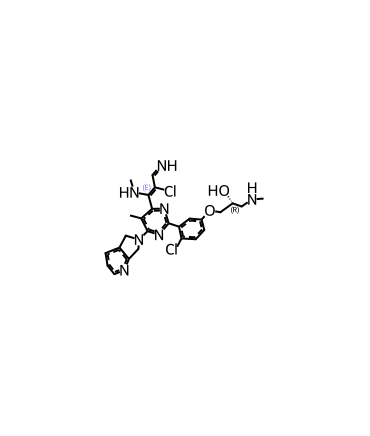 CNC[C@@H](O)COc1ccc(Cl)c(-c2nc(/C(NC)=C(\Cl)C=N)c(C)c(N3Cc4cccnc4C3)n2)c1